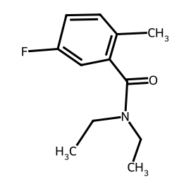 CCN(CC)C(=O)c1cc(F)ccc1C